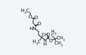 CCOC(=O)CC(=O)NCCC(C)(C)NC(=O)OC(C)(C)C